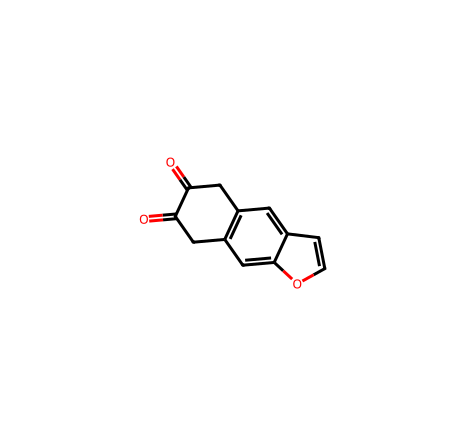 O=C1Cc2cc3ccoc3cc2CC1=O